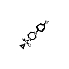 O=S(=O)(C1CC1)N1CCN(c2ccc(Br)cc2)CC1